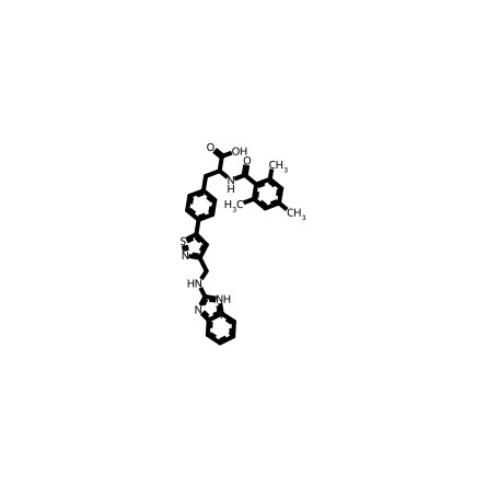 Cc1cc(C)c(C(=O)NC(Cc2ccc(-c3cc(CNc4nc5ccccc5[nH]4)ns3)cc2)C(=O)O)c(C)c1